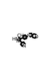 Cc1[nH]nc(-c2ccncc2)c1-c1ccc(N2CCC3(CCOCC3)C2)cc1